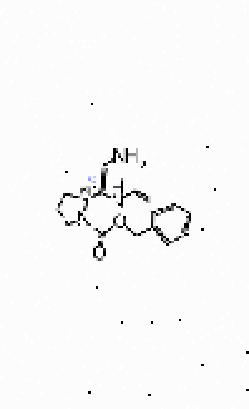 C=CN/C(=C\N)[C@@H]1CCCN1C(=O)OCc1ccccc1